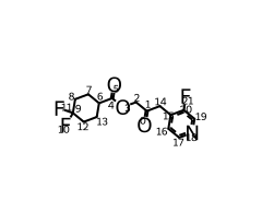 O=C(COC(=O)C1CCC(F)(F)CC1)Cc1ccncc1F